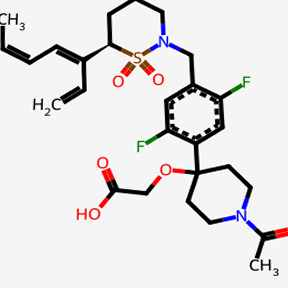 C=C/C(=C\C=C/C)[C@H]1CCCN(Cc2cc(F)c(C3(OCC(=O)O)CCN(C(C)=O)CC3)cc2F)S1(=O)=O